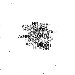 CCCCCCCCCCCOc1cccc(C(=O)NC2C(O[C@@H]3C(CO)OC(O[C@@H]4C(CO)O[C@@H](O[C@@H]5C(CO)O[C@@H](OC6C(CO[C@@H]7OC(C)C(O)C(O)C7OC)OC(O)[C@@H](NC(C)=O)[C@H]6O)C(NC(C)=O)C5O)[C@@H](NC(C)=O)C4O)C(NC(C)=O)C3O)OC(CO)[C@@H](O)C2O)c1